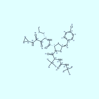 CCC[C@H](NC(=O)[C@@H]1C[C@@H](Oc2ccc(Cl)cn2)CN1C(=O)C(NC(=O)NC(C)(C)C)C(C)(C)C)C(=O)C(=O)NC1CC1